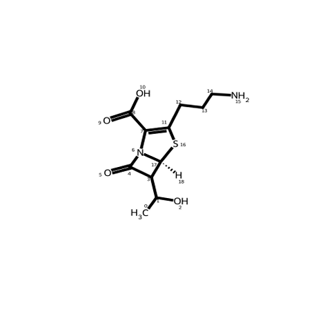 CC(O)C1C(=O)N2C(C(=O)O)=C(CCCN)S[C@@H]12